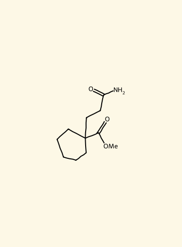 COC(=O)C1(CCC(N)=O)CCCCC1